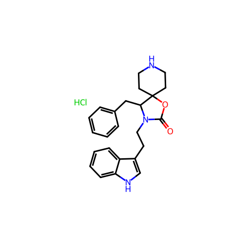 Cl.O=C1OC2(CCNCC2)C(Cc2ccccc2)N1CCc1c[nH]c2ccccc12